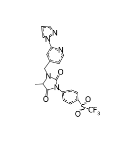 CC1C(=O)N(c2ccc(S(=O)(=O)C(F)(F)F)cc2)C(=O)N1Cc1ccnc(-n2cccn2)c1